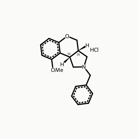 COc1cccc2c1[C@H]1CN(Cc3ccccc3)C[C@H]1CO2.Cl